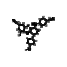 COc1ccc(-c2cnc(Nc3ccc(C#N)cc3)nc2Oc2c(C)cc(C#N)cc2C)cc1